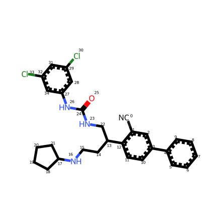 N#Cc1cc(-c2ccccc2)ccc1C(CCNC1CCCC1)CNC(=O)Nc1cc(Cl)cc(Cl)c1